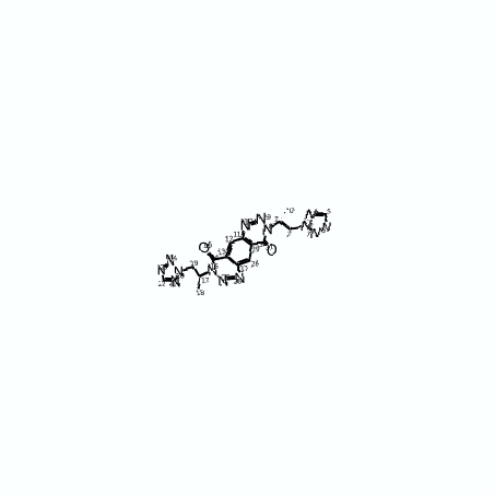 C[C@H](Cn1ncnn1)n1nnc2cc3c(=O)n([C@@H](C)Cn4ncnn4)nnc3cc2c1=O